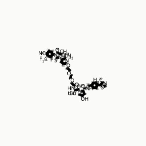 Cc1nc(OCCOCCOCC(=O)N[C@H](C(=O)N2C[C@H](O)C[C@H]2C(=O)NCc2ccc(-c3scnc3C)cc2)C(C)(C)C)ccc1N1C(=S)N(c2ccc(C#N)c(C(F)(F)F)c2F)C(=O)C1(C)C